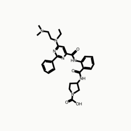 CCN(CCN(C)C)c1cc(C(=O)Nc2ccccc2C(=O)NC2CCN(C(=O)O)C2)nc(-c2ccccc2)n1